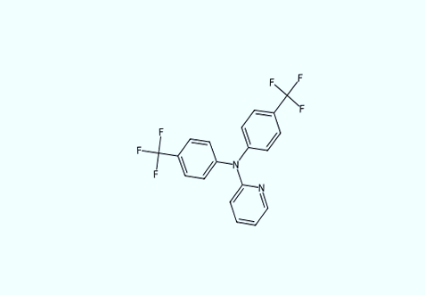 FC(F)(F)c1ccc(N(c2ccc(C(F)(F)F)cc2)c2ccccn2)cc1